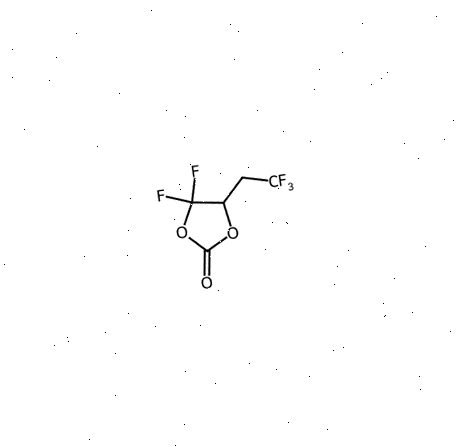 O=C1OC(CC(F)(F)F)C(F)(F)O1